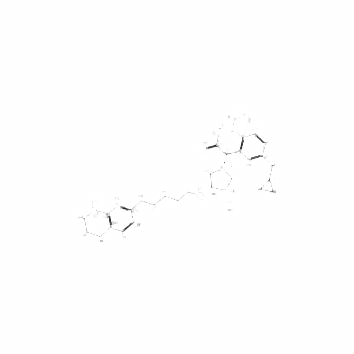 COc1ccc(CC2CC2)cc1[C@H](C(=O)O)N1C[C@H](F)[C@H](OCCCCCc2ccc3c(n2)NCCC3)C1